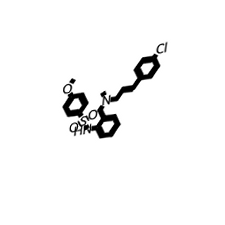 COc1ccc(S(=O)(=O)Nc2ccccc2CN(C)CC=Cc2ccc(Cl)cc2)cc1